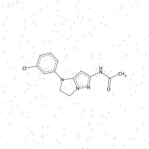 CC(=O)Nc1cc2n(n1)CCN2c1cccc(Cl)c1